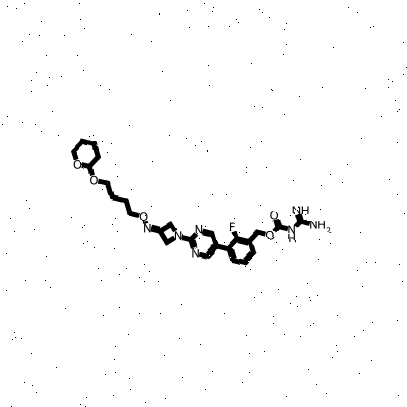 N=C(N)NC(=O)OCc1cccc(-c2cnc(N3CC(=NOCCCCOC4CCCCO4)C3)nc2)c1F